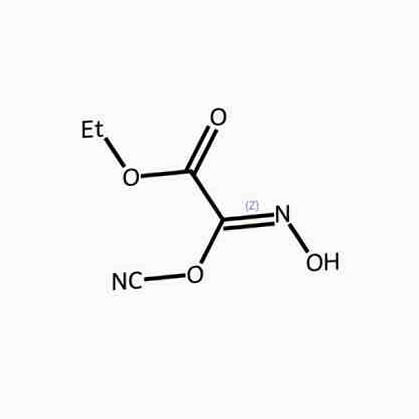 CCOC(=O)/C(=N/O)OC#N